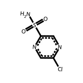 NS(=O)(=O)c1cnc(Cl)cn1